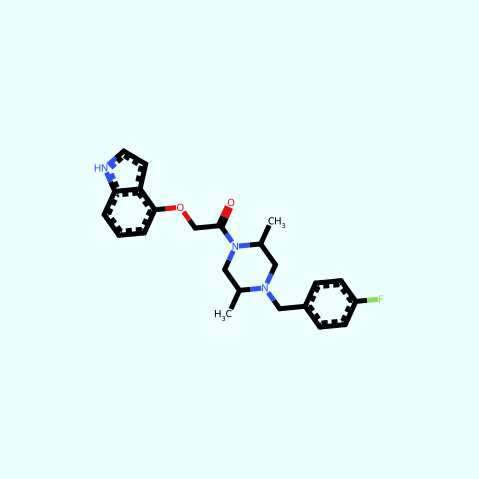 CC1CN(C(=O)COc2cccc3[nH]ccc23)C(C)CN1Cc1ccc(F)cc1